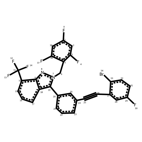 Fc1cc(F)c(Cn2nc3c(C(F)(F)F)cccc3c2-c2cccc(C#Cc3cc(F)ccc3Br)c2)c(F)c1